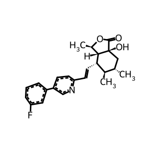 C[C@H]1[C@H](/C=C/c2ccc(-c3cccc(F)c3)cn2)[C@@H]2[C@@H](C)OC(=O)[C@]2(O)C[C@@H]1C